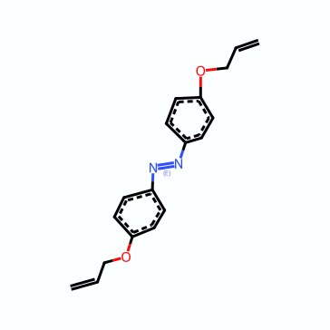 C=CCOc1ccc(/N=N/c2ccc(OCC=C)cc2)cc1